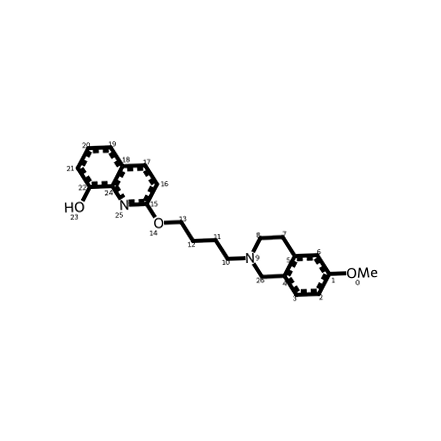 COc1ccc2c(c1)CCN(CCCCOc1ccc3cccc(O)c3n1)C2